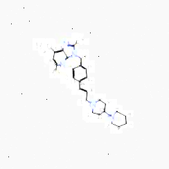 CCc1nc2c(C)cc(C)nc2n1Cc1ccc(/C=C/CN2CCC(N3CCCCC3)CC2)cc1